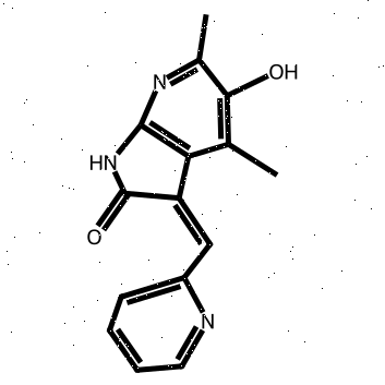 Cc1nc2c(c(C)c1O)C(=Cc1ccccn1)C(=O)N2